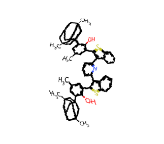 Cc1cc(-c2sc3ccccc3c2-c2cccc(-c3c(-c4cc(C)cc(C56CC7C[C@@](C)(C5)C[C@](C)(C7)C6)c4O)sc4ccccc34)n2)c(O)c(C23CC4C[C@@](C)(C2)C[C@](C)(C4)C3)c1